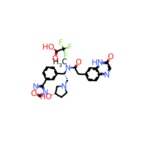 CN(C(=O)Cc1ccc2ncc(=O)[nH]c2c1)[C@H](CN1CC[C@H](O)C1)c1cccc(-c2ncon2)c1.O=C(O)C(F)(F)F